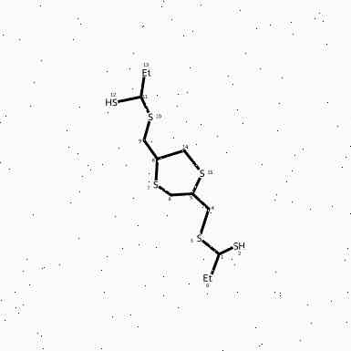 CCC(S)SCC1CSC(CSC(S)CC)CS1